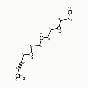 CC#CCOCCOCCOCCCl